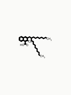 CCCCCCCCCCC(CCCCCCCC)Cc1cc2ccccc2c(C(=O)O)c1C